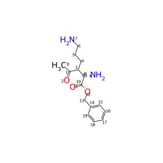 CC(=O)C(CCCN)[C@H](N)C(=O)OCc1ccccc1